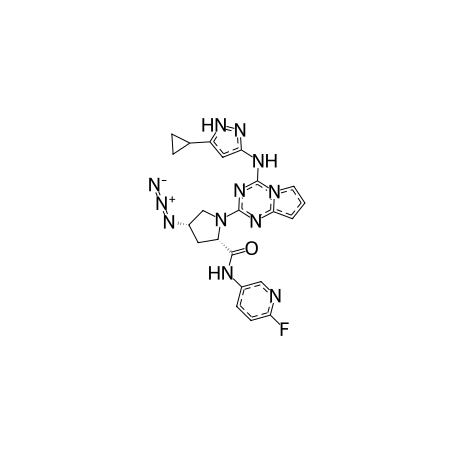 [N-]=[N+]=N[C@H]1C[C@@H](C(=O)Nc2ccc(F)nc2)N(c2nc(Nc3cc(C4CC4)[nH]n3)n3cccc3n2)C1